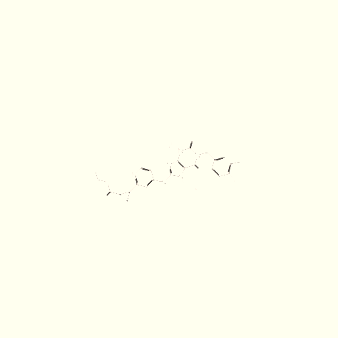 CCOC(=O)C1CC1c1cc(Nc2nc3c(c(=O)n(Cc4ccc(Cl)c(Cl)c4)c(=O)n3C)n2C)ccn1